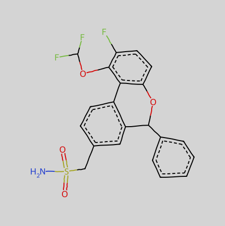 NS(=O)(=O)Cc1ccc2c(c1)C(c1ccccc1)Oc1ccc(F)c(OC(F)F)c1-2